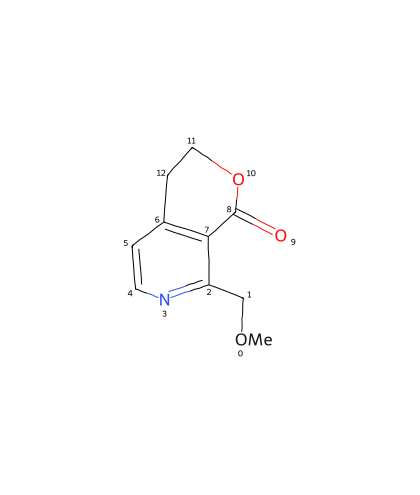 COCc1nccc2c1C(=O)OCC2